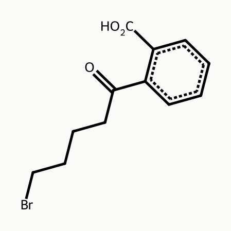 O=C(O)c1ccccc1C(=O)CCCCBr